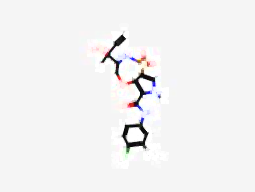 C#CC(C)(O)C1COc2c(cn(C)c2C(=O)Nc2ccc(F)c(C(F)(F)F)c2)S(=O)(=O)N1